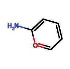 Nc1cccc[o+]1